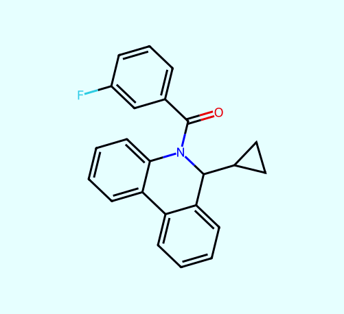 O=C(c1cccc(F)c1)N1c2ccccc2-c2ccccc2C1C1CC1